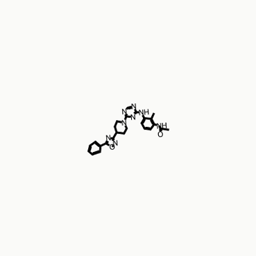 CC(=O)Nc1cccc(Nc2ncnc(N3CCC(c4noc(-c5ccccc5)n4)CC3)n2)c1C